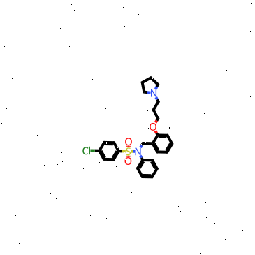 O=S(=O)(c1ccc(Cl)cc1)N(Cc1ccccc1OCCCN1CCCC1)c1ccccc1